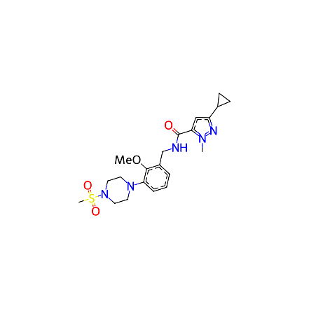 COc1c(CNC(=O)c2cc(C3CC3)nn2C)cccc1N1CCN(S(C)(=O)=O)CC1